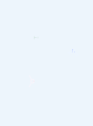 COc1cccc2c1C(=Cc1cccnc1)CC2.Cl